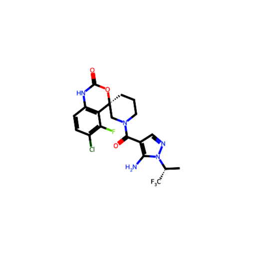 C[C@@H](n1ncc(C(=O)N2CCC[C@@]3(C2)OC(=O)Nc2ccc(Cl)c(F)c23)c1N)C(F)(F)F